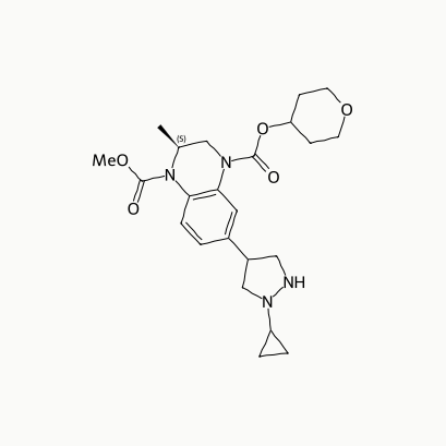 COC(=O)N1c2ccc(C3CNN(C4CC4)C3)cc2N(C(=O)OC2CCOCC2)C[C@@H]1C